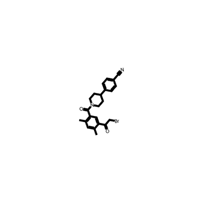 Cc1cc(C)c(C(=O)N2CCC(c3ccc(C#N)cc3)CC2)cc1C(=O)CBr